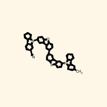 Cc1ccc2c(c1)c1ccccc1n2-c1ccc2sc3ccc(-c4ccc5oc6ccc(-n7c8ccccc8c8ccc(C#N)cc87)cc6c5c4)cc3c2c1